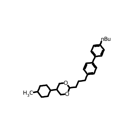 CCCCc1ccc(-c2ccc(CCCC3OCC(C4CCC(C)CC4)CO3)cc2)cc1